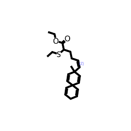 CCOC(=O)C(CC/C=C\C1(C)C=CC2(C=CCC=C2)C=C1)SCC